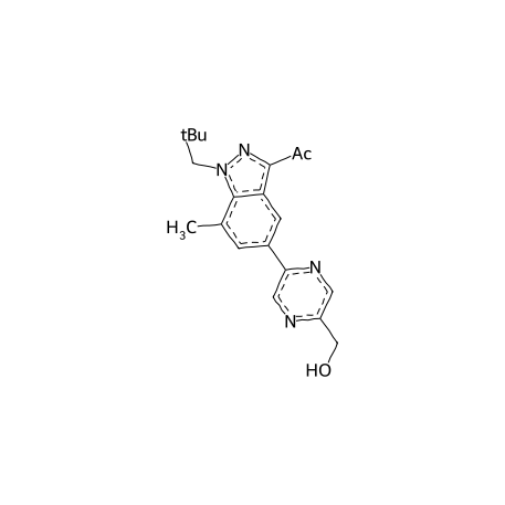 CC(=O)c1nn(CC(C)(C)C)c2c(C)cc(-c3cnc(CO)cn3)cc12